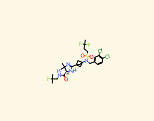 CC(C)(F)CNC(=O)[C@@H]1NC(C23CC(N(Cc4ccc(Cl)c(Cl)c4)S(=O)(=O)CCC(C)(F)F)(C2)C3)=NC1(C)C